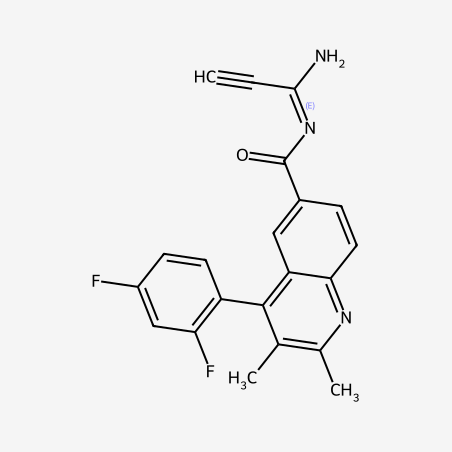 C#C/C(N)=N\C(=O)c1ccc2nc(C)c(C)c(-c3ccc(F)cc3F)c2c1